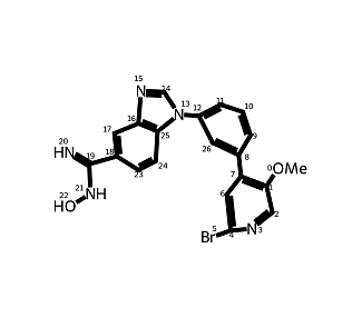 COc1cnc(Br)cc1-c1cccc(-n2cnc3cc(C(=N)NO)ccc32)c1